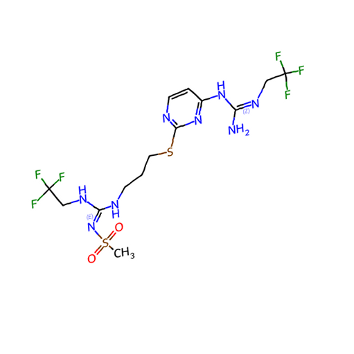 CS(=O)(=O)/N=C(\NCCCSc1nccc(N/C(N)=N\CC(F)(F)F)n1)NCC(F)(F)F